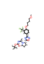 COCCCCOc1ccc(-c2noc([C@@H]3CCCN3/C(C)=N\C(=O)OC(C)(C)C)n2)cc1C(F)(F)F